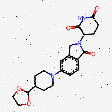 O=C1CCC(N2Cc3cc(N4CCC(C5OCCO5)CC4)ccc3C2=O)C(=O)N1